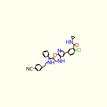 N#Cc1ccc(CCN[C@H](c2ccccc2)[C@@H]2CNc3cc(-c4ccc(Cl)c(C(=O)NC5CC5)c4)cnc3O2)cc1